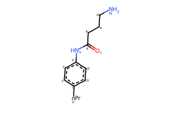 CCCc1ccc(NC(=O)CCCN)cc1